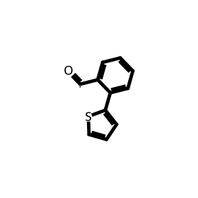 O=[C]c1ccccc1-c1cccs1